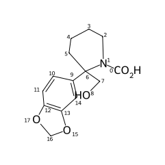 O=C(O)N1CCCCC1(CO)c1ccc2c(c1)OCO2